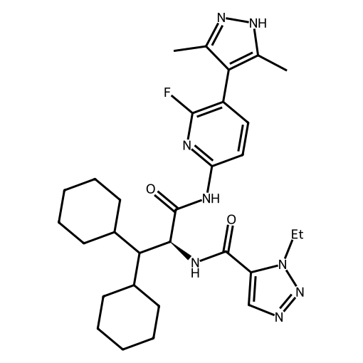 CCn1nncc1C(=O)N[C@H](C(=O)Nc1ccc(-c2c(C)n[nH]c2C)c(F)n1)C(C1CCCCC1)C1CCCCC1